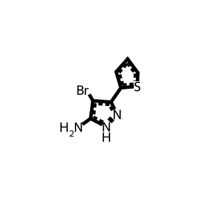 Nc1[nH]nc(-c2cccs2)c1Br